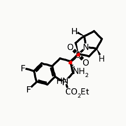 CCOC(=O)NCCS(=O)(=O)N1[C@@H]2CC[C@H]1C[C@H]([C@H](N)Cc1cc(F)c(F)cc1F)C2